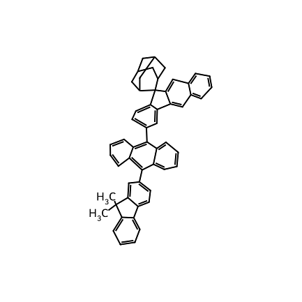 CC1(C)c2ccccc2-c2ccc(-c3c4ccccc4c(-c4ccc5c(c4)-c4cc6ccccc6cc4C54C5CC6CC(C5)CC4C6)c4ccccc34)cc21